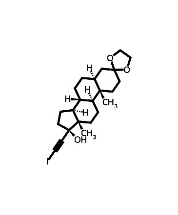 C[C@]12CCC3(C[C@@H]1CC[C@@H]1[C@@H]2CC[C@@]2(C)[C@H]1CC[C@@]2(O)C#CI)OCCO3